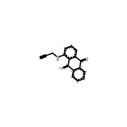 C#CCNc1cccc2c1C(=O)c1ccccc1C2=O